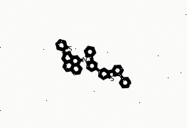 c1ccc(-c2cccc3c2sc2ccc(-c4ccc5c(c4)c4ccccc4n5-c4cc5c6sc7ccccc7c6cc6ccc7cccc4c7c65)cc23)cc1